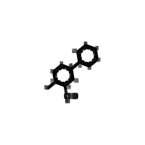 Cc1ccc(-c2ccccc2)cc1C=O